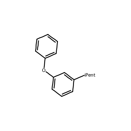 [CH2]CCC(C)c1cccc(Oc2ccccc2)c1